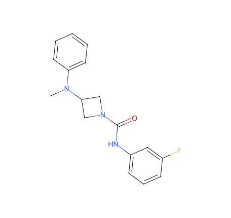 CN(c1ccccc1)C1CN(C(=O)Nc2cccc(F)c2)C1